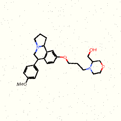 COc1ccc(C2CN3CCCC3c3cc(OCCCN4CCOCC4CO)ccc32)cc1